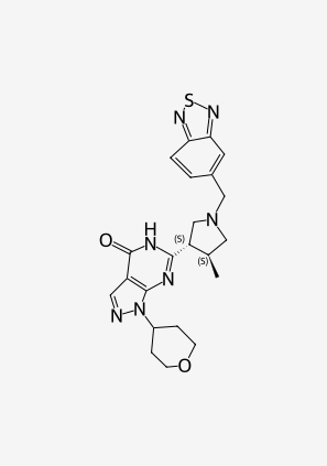 C[C@@H]1CN(Cc2ccc3nsnc3c2)C[C@H]1c1nc2c(cnn2C2CCOCC2)c(=O)[nH]1